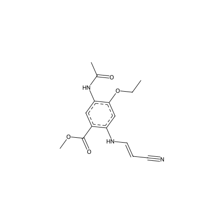 CCOc1cc(NC=CC#N)c(C(=O)OC)cc1NC(C)=O